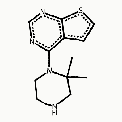 CC1(C)CNCCN1c1ncnc2sccc12